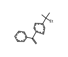 C=C(c1ccccc1)c1ccc(C(C)(C)CC)cc1